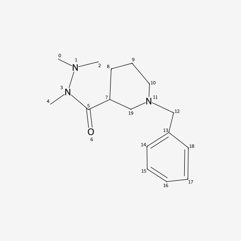 CN(C)N(C)C(=O)C1CCCN(Cc2ccccc2)C1